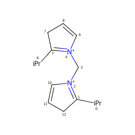 CC(C)C1=[N+](C[N+]2=C(C(C)C)CC=C2)C=CC1